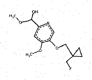 COc1cc(C(O)OC)ncc1OCC1(CF)CC1